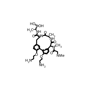 CNCC(=O)N(C)C1C(=O)N[C@@H](C)C(=O)NC(C(=O)N[C@@H](C)B(O)O)Cc2ccc(OCCN)c(c2)-c2cc1ccc2OCCN